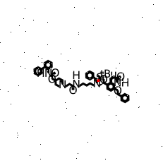 CC(C)(C)[Si](C)(C)O[C@H](CN(CCCCCNC(=O)CCN1CCC(OC(=O)Nc2ccccc2-c2ccccc2)CC1)Cc1ccccc1)c1ccc(OCc2ccccc2)c2[nH]c(=O)ccc12